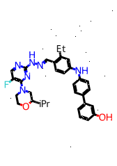 CCc1cc(Nc2ccc(-c3cccc(O)c3)cc2)ccc1/C=N/Nc1ncc(F)c(N2CCOC(C(C)C)C2)n1